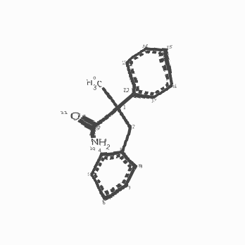 CC(Cc1ccccc1)(C(N)=O)c1ccccc1